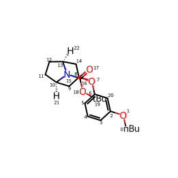 CCCCOc1cccc(O[C@H]2C[C@H]3CC[C@@H](C2)N3C(=O)OC(C)(C)C)c1